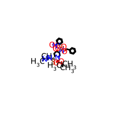 CN(C)C=NC(=S)[C@@H]1CC[C@@H](N(OCc2ccccc2)S(=O)(=O)c2ccccc2[N+](=O)[O-])CN1C(=O)OC(C)(C)C